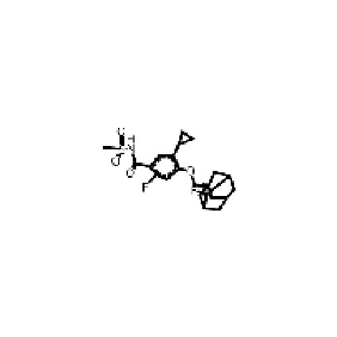 CS(=O)(=O)NC(=O)c1cc(C2CC2)c(OCC23CC4CC(C2)C(F)(F)C(C4)C3)cc1F